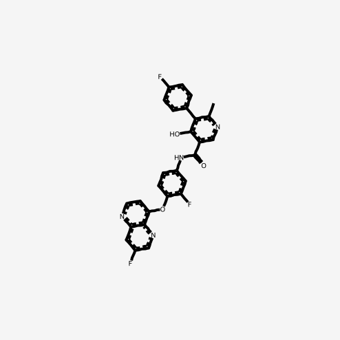 Cc1ncc(C(=O)Nc2ccc(Oc3ccnc4cc(F)cnc34)c(F)c2)c(O)c1-c1ccc(F)cc1